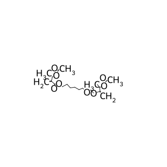 C=C(OCOCCCCCCOC(=O)C(=C)C(C)OC(C)=O)C(C)OC(C)=O